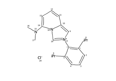 CC(C)c1cccc(C(C)C)c1-[n+]1cc2cccc(N(C)C)n2c1.[Cl-]